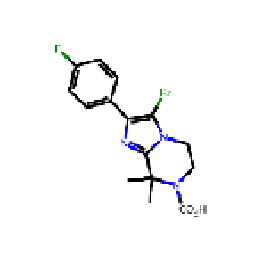 CC1(C)c2nc(-c3ccc(F)cc3)c(Br)n2CCN1C(=O)O